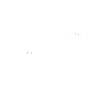 CCC(C)c1cc(NN)cc(C(F)(F)F)c1